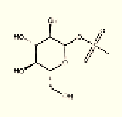 CS(=O)(=O)OC1O[C@H](CO)[C@@H](O)[C@H](O)[C@H]1O